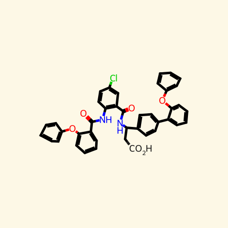 O=C(O)CC(NC(=O)c1cc(Cl)ccc1NC(=O)c1ccccc1Oc1ccccc1)c1ccc(-c2ccccc2Oc2ccccc2)cc1